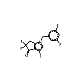 O=C1c2c(I)cn(Cc3cc(F)cc(F)c3)c2CC1(F)F